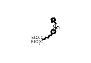 CCOC(=O)C(CCCCCC1CCN(C(=O)OCc2ccccc2)CC1)C(=O)OCC